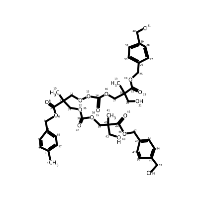 Cc1ccc(COC(=O)C(C)(COOC(=O)OCC(C)(CO)C(=O)OCc2ccc(CCl)cc2)COC(=O)OCC(C)(CO)C(=O)OCc2ccc(CCl)cc2)cc1